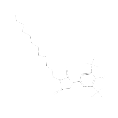 CCCCCCCCCCCCN1C(=O)CC(c2cc(C(C)(C)C)c(O)c(C(C)(C)C)c2)C1=O